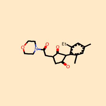 CCc1cc(C)cc(C)c1C1C(=O)CC(CC(=O)N2CCOCC2)C1=O